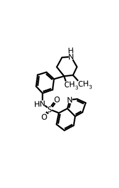 CC1CNCCC1(C)c1cccc(NS(=O)(=O)c2cccc3cccnc23)c1